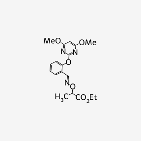 CCOC(=O)C(C)ON=Cc1ccccc1Oc1nc(OC)cc(OC)n1